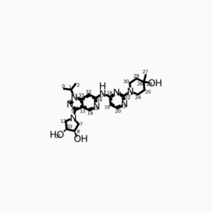 CC(C)n1nc(N2C[C@@H](O)[C@@H](O)C2)c2cnc(Nc3ccnc(N4CCC(C)(O)CC4)n3)cc21